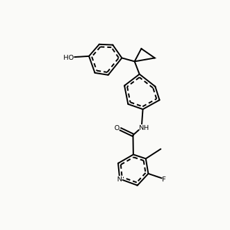 Cc1c(F)cncc1C(=O)Nc1ccc(C2(c3ccc(O)cc3)CC2)cc1